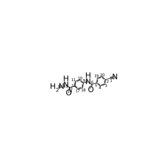 N#Cc1ccc(C(=O)Nc2ccc(C(=O)NN)cc2)cc1